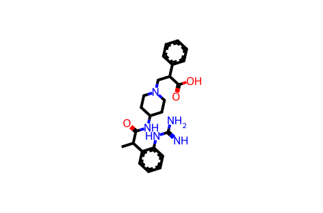 CC(C(=O)NC1CCN(CC(C(=O)O)c2ccccc2)CC1)c1ccccc1NC(=N)N